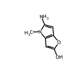 Cn1c(N)cc2oc(O)cc21